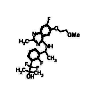 COCCOc1cc2c(NC(C)c3cccc(C(F)(F)C(C)(C)O)c3F)nc(C)nc2cc1F